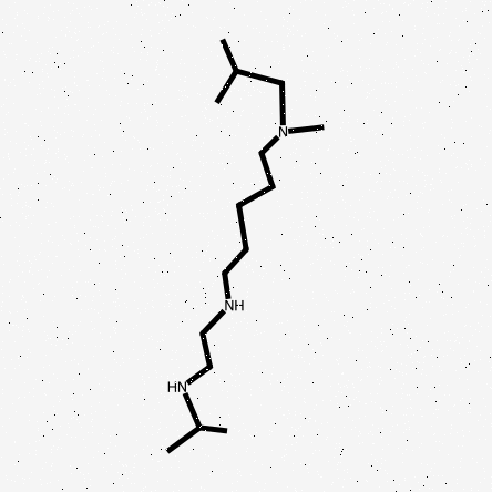 CC(C)CN(C)CCCCCNCCNC(C)C